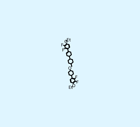 CCOc1ccc(C2=CCC(C3CCC(COC4CCC(c5ccc(OCC)c(F)c5F)CC4)CC3)CC2)c(F)c1F